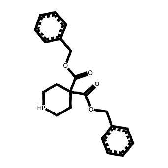 O=C(OCc1ccccc1)C1(C(=O)OCc2ccccc2)CCPCC1